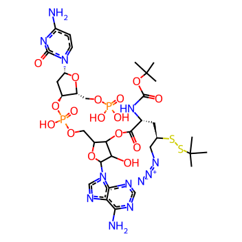 CC(C)(C)OC(=O)N[C@H](C[C@H](CN=[N+]=[N-])SSC(C)(C)C)C(=O)OC1C(COP(=O)(O)O[C@H]2C[C@H](n3ccc(N)nc3=O)O[C@@H]2COP(=O)(O)O)OC(n2cnc3c(N)ncnc32)C1O